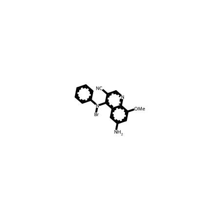 COc1cc(N)cc2c(N(Br)c3ccccc3)c(C#N)cnc12